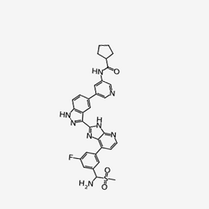 CS(=O)(=O)C(N)c1cc(F)cc(-c2ccnc3[nH]c(-c4n[nH]c5ccc(-c6cncc(NC(=O)C7CCCC7)c6)cc45)nc23)c1